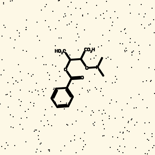 CN(C)OC(C(=O)O)C(OC(=O)c1ccccc1)C(=O)O